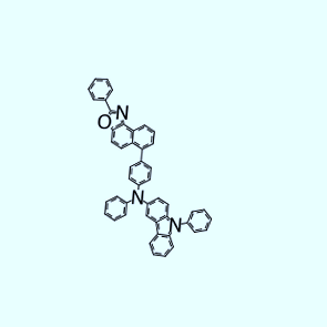 c1ccc(-c2nc3c(ccc4c(-c5ccc(N(c6ccccc6)c6ccc7c(c6)c6ccccc6n7-c6ccccc6)cc5)cccc43)o2)cc1